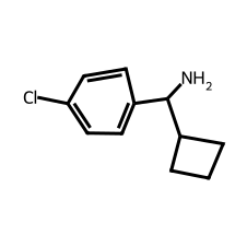 NC(c1ccc(Cl)cc1)C1CCC1